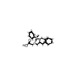 O=C(O)COCC1Cc2ccccc2CN1S(=O)(=O)c1ccccc1